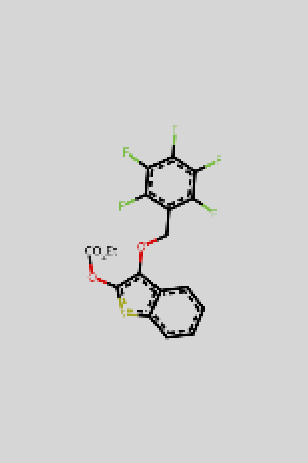 CCOC(=O)Oc1sc2ccccc2c1OCc1c(F)c(F)c(F)c(F)c1F